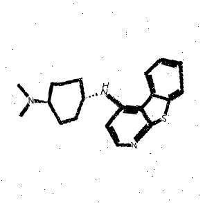 CN(C)[C@H]1CC[C@H](Nc2ccnc3sc4ccccc4c23)CC1